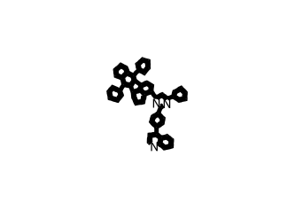 c1ccc(-c2cc(-c3ccc4c5c(cccc35)-c3c-4c(-c4ccccc4)c4ccccc4c3-c3ccccc3)nc(-c3ccc(-c4ccnc5ccccc45)cc3)n2)cc1